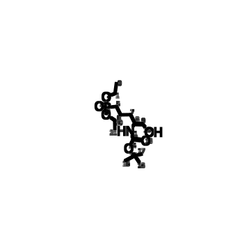 CCOP(=O)(CCCC(=CO)NC(=O)OC(C)(C)C)OCC